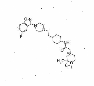 CC1(C)C[C@@H](CC(=O)NC2CCC(CCN3CCN(c4noc5ccc(F)cc45)CC3)CC2)CCO1